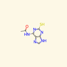 CC(=O)Nc1nc(S)nc2[nH]cnc12